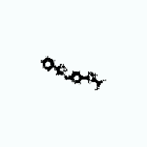 FC(F)c1nnc(-c2ccc(Cn3cc(-c4cccnc4)nn3)nc2)o1